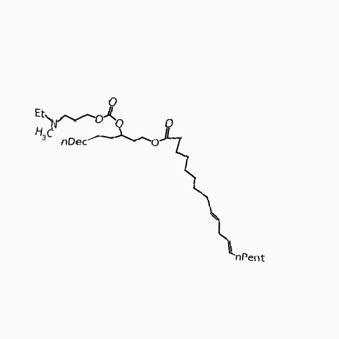 CCCCCC=CCC=CCCCCCCCC(=O)OCCC(CCCCCCCCCCCC)OC(=O)OCCCN(C)CC